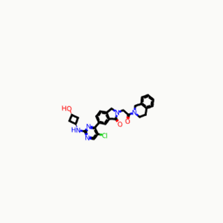 O=C(CN1Cc2ccc(-c3nc(N[C@H]4C[C@@H](O)C4)ncc3Cl)cc2C1=O)N1CCc2ccccc2C1